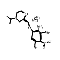 CC(C)N1CCOC(=COc2cc(Br)c([N+](=O)[O-])c(Br)c2N)C1.Cl.Cl